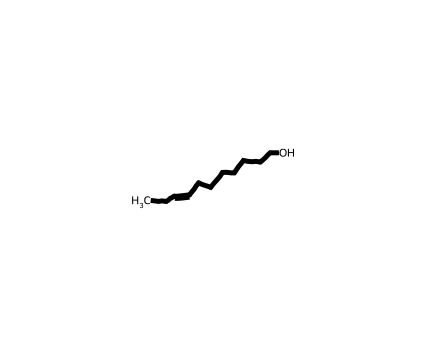 CC/C=C/CCCCCCCO